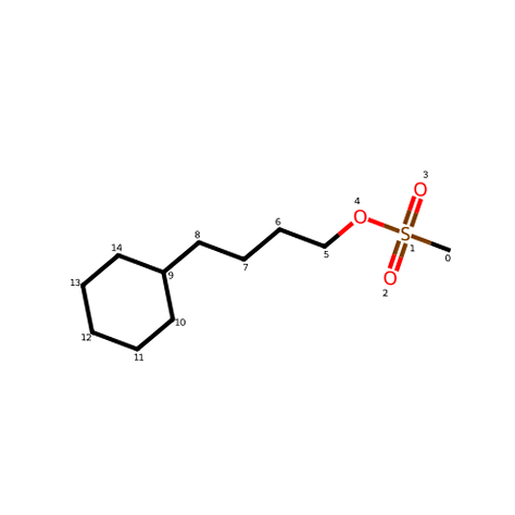 CS(=O)(=O)OCCCCC1CCCCC1